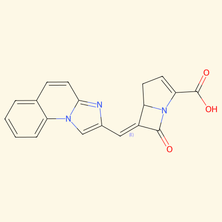 O=C(O)C1=CCC2/C(=C\c3cn4c(ccc5ccccc54)n3)C(=O)N12